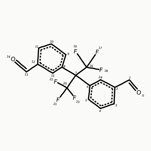 O=Cc1cccc(C(c2cccc(C=O)c2)(C(F)(F)F)C(F)(F)F)c1